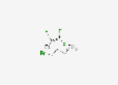 C=CCCBr.CCC(F)=C(F)F